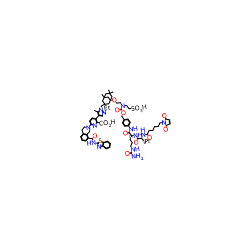 CCC1(Cn2ncc(-c3ccc(N4CCc5cccc(C(=O)Nc6nc7ccccc7s6)c5C4)nc3C(=O)O)c2C)CC2(C)CC(C)(C)CC(OCCN(CCS(=O)(=O)O)C(=O)OCc3ccc(NC(=O)[C@H](CCCNC(N)=O)NC(=O)C(NC(=O)CCCCCN4C(=O)C=CC4=O)C(C)C)cc3)(C2)C1